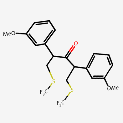 COc1cccc(C(CSC(F)(F)F)C(=O)C(CSC(F)(F)F)c2cccc(OC)c2)c1